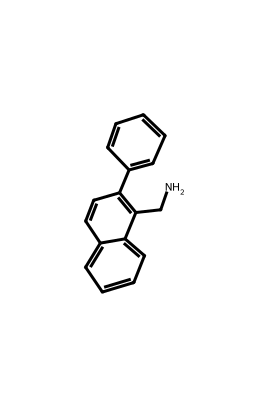 NCc1c(-c2ccccc2)ccc2ccccc12